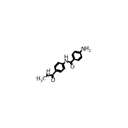 CNC(=O)c1ccc(NC(=O)c2ccc(N)cc2)cc1